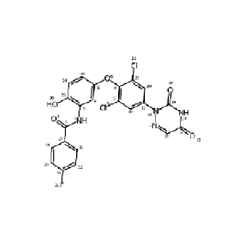 O=C(Nc1cc(Oc2c(Cl)cc(-n3ncc(=O)[nH]c3=O)cc2Cl)ccc1O)c1ccc(F)cc1